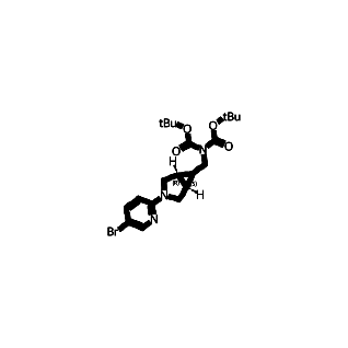 CC(C)(C)OC(=O)N(CC1[C@H]2CN(c3ccc(Br)cn3)C[C@@H]12)C(=O)OC(C)(C)C